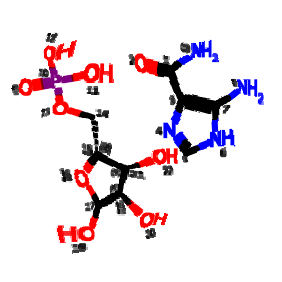 NC(=O)c1nc[nH]c1N.O=P(O)(O)OC[C@H]1OC(O)[C@H](O)[C@@H]1O